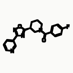 O=C(c1ccc(F)cc1)N1CCC[C@H](c2nc(-c3cccnc3)no2)C1